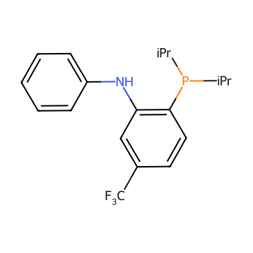 CC(C)P(c1ccc(C(F)(F)F)cc1Nc1ccccc1)C(C)C